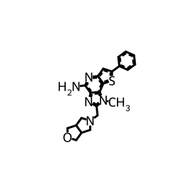 Cn1c(CN2CC3COCC3C2)nc2c(N)nc3cc(-c4ccccc4)sc3c21